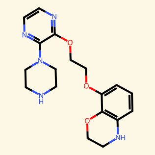 c1cc2c(c(OCCOc3nccnc3N3CCNCC3)c1)OCCN2